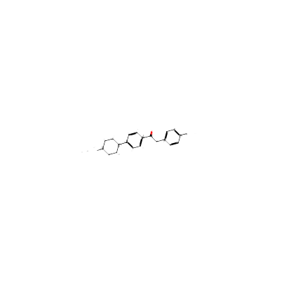 CCCCCCCc1ccc(CC(=O)c2ccc(C3CCC(CCCCC)CC3)cc2)cc1